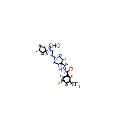 CC1(N(C=O)CCN2CCC(CNC(=O)c3cc(F)cc(C(F)(F)F)c3)CC2)CCCC1